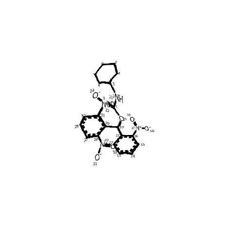 O=C(NC1CCCCC1)OC(c1ccccc1[N+](=O)[O-])c1c([N+](=O)[O-])cccc1[N+](=O)[O-]